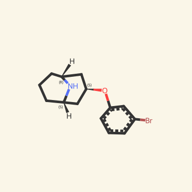 Brc1cccc(O[C@@H]2C[C@H]3CCC[C@@H](C2)N3)c1